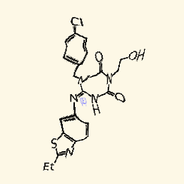 CCc1nc2ccc(/N=c3\[nH]c(=O)n(CCO)c(=O)n3Cc3ccc(Cl)cc3)cc2s1